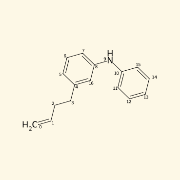 C=CCCc1cccc(Nc2ccccc2)c1